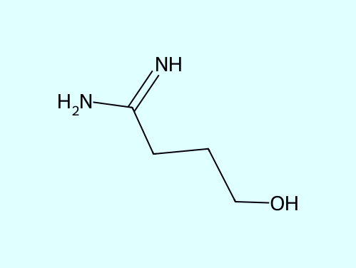 N=C(N)CCCO